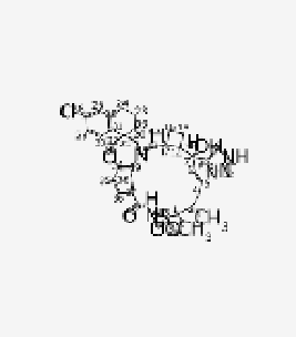 C[C@@H]1[C@@H](C)C/C=C/[C@@](O)(c2c[nH]nn2)[C@@H]2CC[C@H]2CN2C[C@@]3(CCCc4cc(Cl)ccc43)COc3ccc(cc32)C(=O)NS1(=O)=O